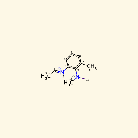 C/C=N/c1cccc(C)c1N(C)I